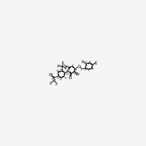 Cc1cc(OCc2ccc(F)cc2F)c(Br)c(=O)n1-c1ccc(C(=O)N(C)C)cc1C(F)(F)F